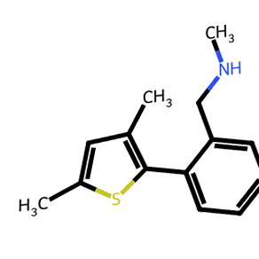 CNCc1ccccc1-c1sc(C)cc1C